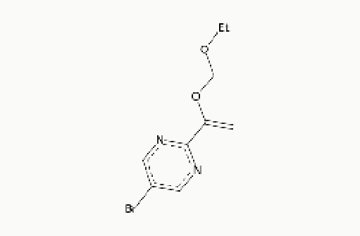 C=C(OCOCC)c1ncc(Br)cn1